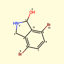 OC1NCc2c(Br)ccc(Br)c21